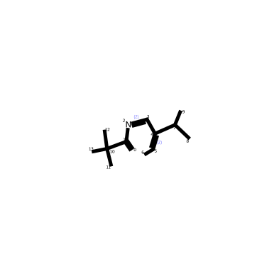 C=C(/N=C\C(=C/C)C(C)C)C(C)(C)C